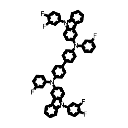 Fc1cccc(N(c2ccc(-c3ccc(N(c4cccc(F)c4)c4ccc5c(c4)c4ccccc4n5-c4ccc(F)c(F)c4)cc3)cc2)c2ccc3c(c2)c2ccccc2n3-c2ccc(F)c(F)c2)c1